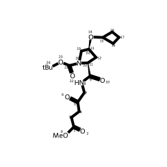 COC(=O)CCC(=O)CNC(=O)[C@@H]1C[C@H](OC2CCC2)CN1C(=O)OC(C)(C)C